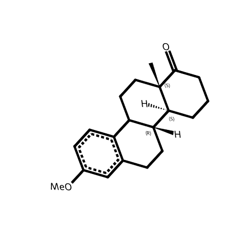 COc1ccc2c(c1)CC[C@@H]1C2CC[C@]2(C)C(=O)CCC[C@@H]12